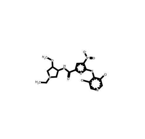 CCN1CC(NC(=O)c2cc([N+](=O)[O-])c(Sc3c(Cl)cncc3Cl)s2)C(OC)C1